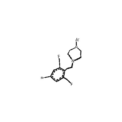 CC(=O)N1CCN(Cc2c(F)cc(Br)cc2F)CC1